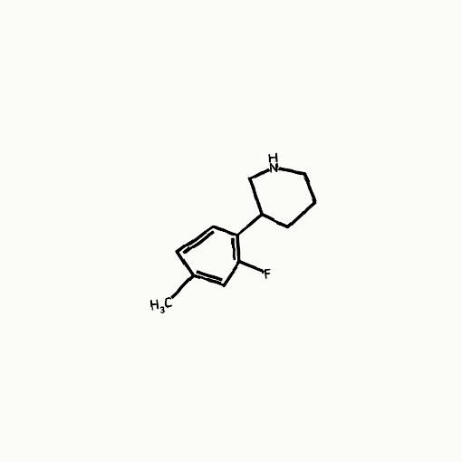 Cc1ccc(C2CCCNC2)c(F)c1